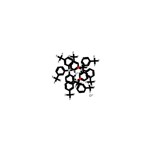 FC(F)(F)c1cccc([Si]([O][V+2]([O][Si](c2cccc(C(F)(F)F)c2)(c2cccc(C(F)(F)F)c2)c2cccc(C(F)(F)F)c2)[O][Si](c2cccc(C(F)(F)F)c2)(c2cccc(C(F)(F)F)c2)c2cccc(C(F)(F)F)c2)(c2cccc(C(F)(F)F)c2)c2cccc(C(F)(F)F)c2)c1.[O-2]